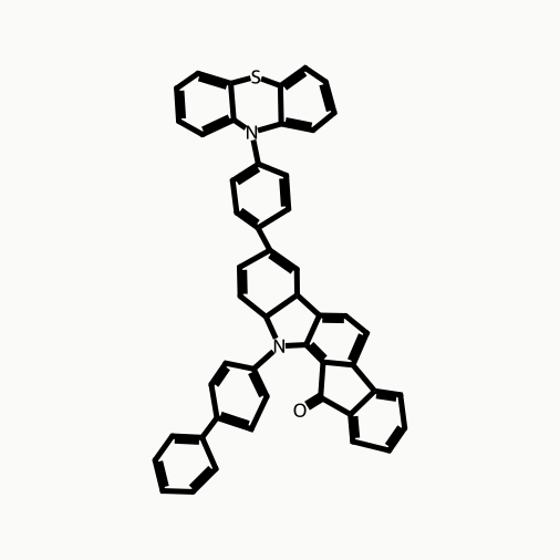 O=C1c2ccccc2-c2ccc3c(c21)N(c1ccc(-c2ccccc2)cc1)C1C=CC(c2ccc(N4c5ccccc5Sc5ccccc54)cc2)=CC31